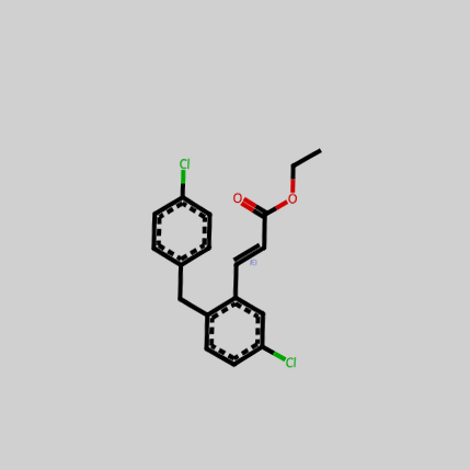 CCOC(=O)/C=C/c1cc(Cl)ccc1Cc1ccc(Cl)cc1